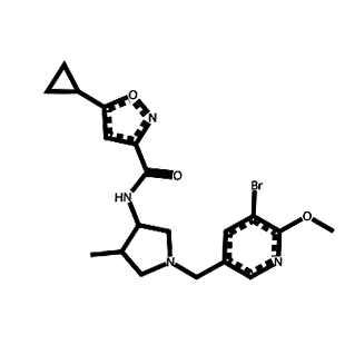 COc1ncc(CN2CC(C)C(NC(=O)c3cc(C4CC4)on3)C2)cc1Br